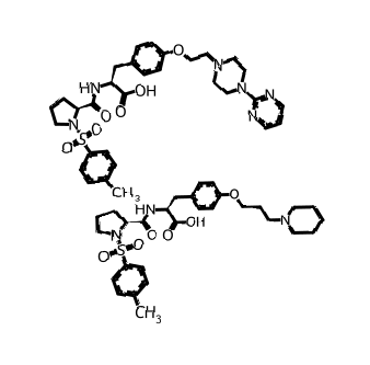 Cc1ccc(S(=O)(=O)N2CCC[C@H]2C(=O)N[C@@H](Cc2ccc(OCCCN3CCCCC3)cc2)C(=O)O)cc1.Cc1ccc(S(=O)(=O)N2CCC[C@H]2C(=O)N[C@@H](Cc2ccc(OCCN3CCN(c4ncccn4)CC3)cc2)C(=O)O)cc1